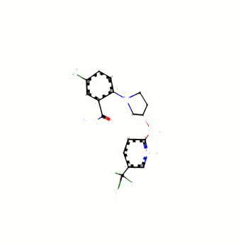 NC(=O)c1cc(Br)ccc1N1CC[C@@H](Oc2ccc(C(F)(F)F)cn2)C1